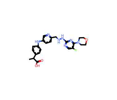 CC(C(=O)O)c1ccc(Nc2ccc(CNNc3ncc(F)c(N4CCOCC4)n3)nc2)cc1